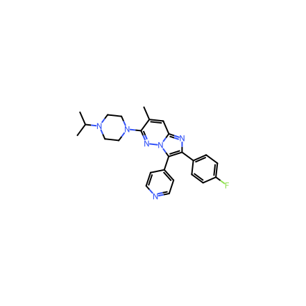 Cc1cc2nc(-c3ccc(F)cc3)c(-c3ccncc3)n2nc1N1CCN(C(C)C)CC1